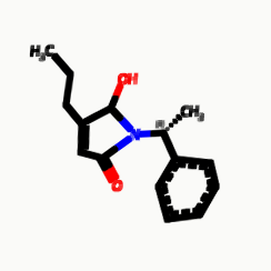 CCCC1=CC(=O)N([C@H](C)c2ccccc2)C1O